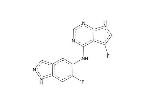 Fc1cc2[nH]ncc2cc1Nc1ncnc2[nH]cc(F)c12